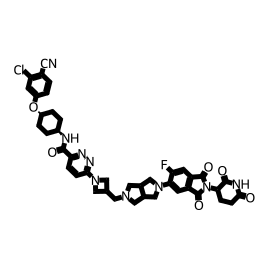 N#Cc1ccc(O[C@H]2CC[C@H](NC(=O)c3ccc(N4CC(CN5CC6CN(c7cc8c(cc7F)C(=O)N(C7CCC(=O)NC7=O)C8=O)CC6C5)C4)nn3)CC2)cc1Cl